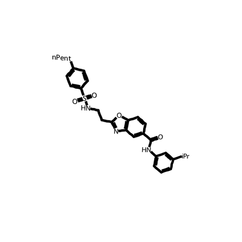 CCCCCc1ccc(S(=O)(=O)NCCc2nc3cc(C(=O)Nc4cccc(C(C)C)c4)ccc3o2)cc1